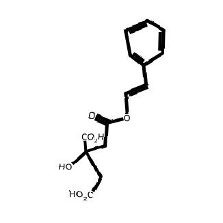 O=C(O)CC(O)(CC(=O)OC=Cc1ccccc1)C(=O)O